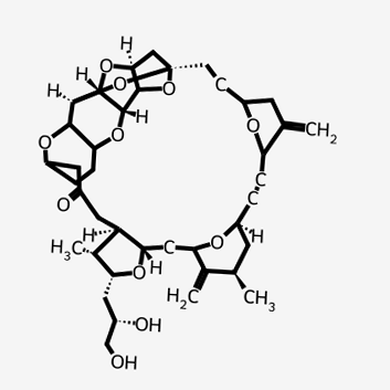 C=C1CC2CC[C@@]34C[C@@H]5O[C@H]6[C@@H](O3)C3OC(CCC3O[C@H]6C5O4)CC(=O)C[C@@H]3[C@@H](C)[C@@H](C[C@H](O)CO)O[C@H]3CC3O[C@@H](CCC1O2)C[C@@H](C)C3=C